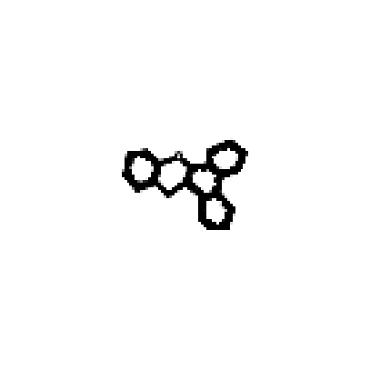 c1ccc2c(c1)Cc1c(c3ccccc3c3ccccc13)O2